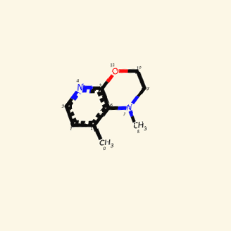 Cc1ccnc2c1N(C)CCO2